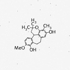 COc1ccc2c(c1O)CCc1cc(O)c(C)c3c1C2CC(C)(C)O3